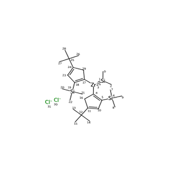 C[Si](C)=[Zr+2]([C]1=C([Si](C)(C)C)C=C(C(C)(C)C)C1)[C]1=C([Si](C)(C)C)C=C(C(C)(C)C)C1.[Cl-].[Cl-]